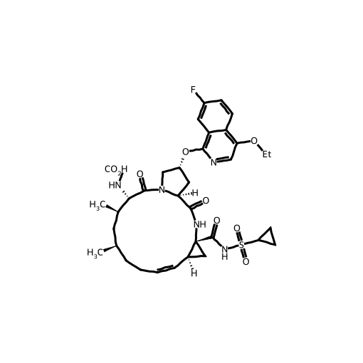 CCOc1cnc(O[C@@H]2C[C@H]3C(=O)N[C@]4(C(=O)NS(=O)(=O)C5CC5)C[C@H]4C=CCC[C@@H](C)C[C@@H](C)[C@H](NC(=O)O)C(=O)N3C2)c2cc(F)ccc12